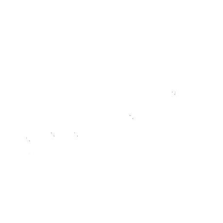 CC(=O)NC[C@H]1CN(c2ccc(N3C=CN(/C=N\O)C3)c(F)c2)C(=O)O1